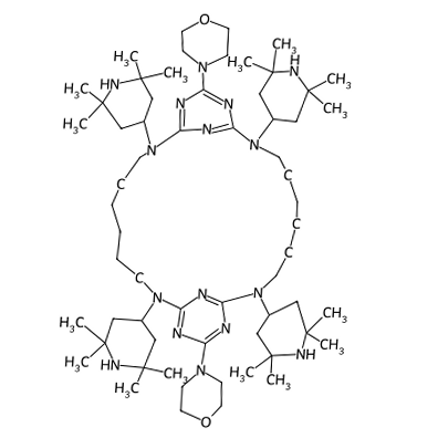 CC1(C)CC(N2CCCCCCN(C3CC(C)(C)NC(C)(C)C3)c3nc(N4CCOCC4)nc(n3)N(C3CC(C)(C)NC(C)(C)C3)CCCCCCN(C3CC(C)(C)NC(C)(C)C3)c3nc(N4CCOCC4)nc2n3)CC(C)(C)N1